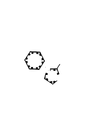 O=S(=O)(O)c1ncco1.c1ccccc1